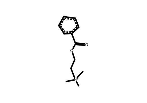 C[N+](C)(C)CCOC(=O)c1ccccc1